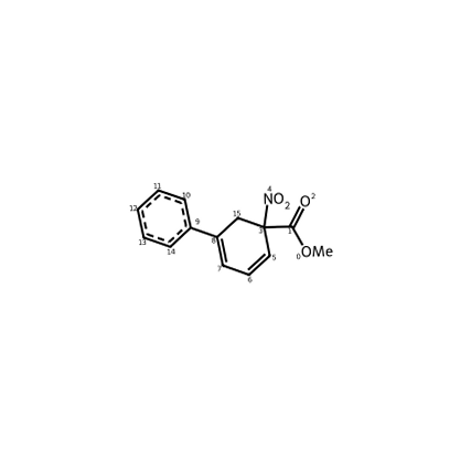 COC(=O)C1([N+](=O)[O-])C=CC=C(c2ccccc2)C1